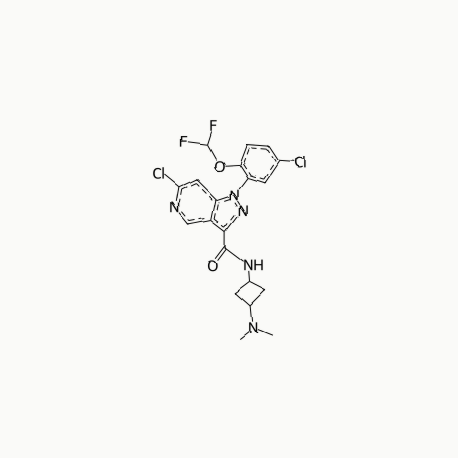 CN(C)C1CC(NC(=O)c2nn(-c3cc(Cl)ccc3OC(F)F)c3cc(Cl)ncc23)C1